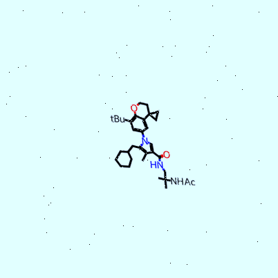 CC(=O)NC(C)(C)CNC(=O)c1cn(-c2cc(C(C)(C)C)c3c(c2)C2(CCO3)CC2)c(CC2CCCCC2)c1C